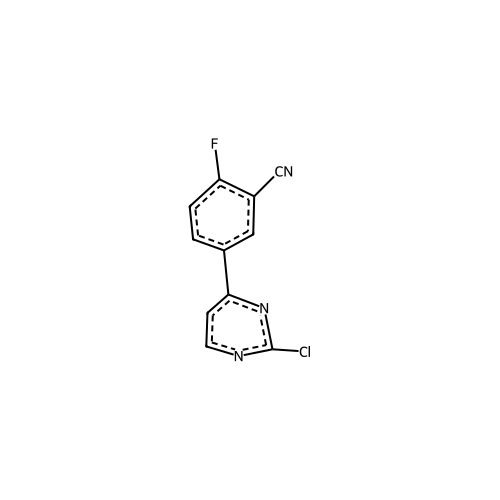 N#Cc1cc(-c2ccnc(Cl)n2)ccc1F